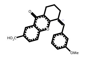 COc1cccc(/C=C2/CCCc3c2oc2ccc(C(=O)O)cc2c3=O)c1